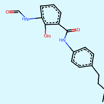 CCCCc1ccc(NC(=O)c2cccc(NC=O)c2O)cc1